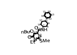 CCCCOc1c(C(=O)N[C@H]2CC[C@@H](c3ccccc3)CC2)nc(SC)n(CC)c1=O